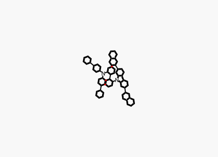 c1ccc(-c2ccc(N(c3ccc(-c4ccccc4)cc3)c3ccccc3-c3ccccc3-n3c4cc(-c5ccc6ccccc6c5)ccc4c4ccc(-c5ccc6ccccc6c5)cc43)cc2)cc1